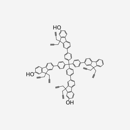 C#CCC1(CC#C)c2ccccc2-c2ccc(-c3ccc(C(c4ccc(-c5ccc6c(c5)C(CC#C)(CC#C)c5cc(O)ccc5-6)cc4)(c4ccc(-c5ccc6c(c5)C(CC#C)(CC#C)c5cc(O)ccc5-6)cc4)c4ccc(-c5ccc6c(c5)C(CC#C)(CC#C)c5cc(O)ccc5-6)cc4)cc3)cc21